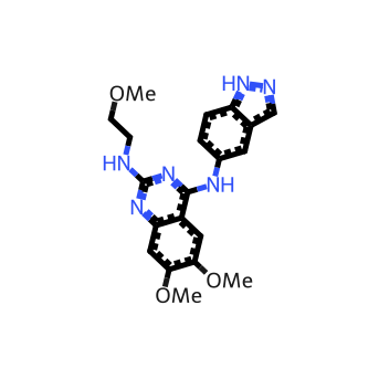 COCCNc1nc(Nc2ccc3[nH]ncc3c2)c2cc(OC)c(OC)cc2n1